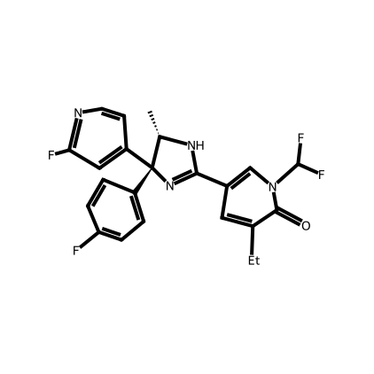 CCc1cc(C2=N[C@](c3ccc(F)cc3)(c3ccnc(F)c3)[C@H](C)N2)cn(C(F)F)c1=O